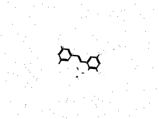 C[SiH](C)Oc1c(C=Cc2cc(C(C)(C)C)cc(C(C)(C)C)c2)cc(C(C)(C)C)cc1C(C)(C)C